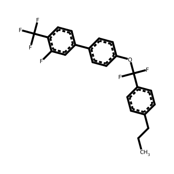 CCCc1ccc(C(F)(F)Oc2ccc(-c3ccc(C(F)(F)F)c(F)c3)cc2)cc1